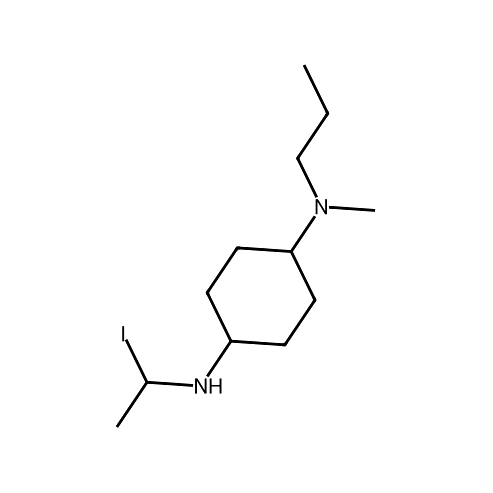 CCCN(C)C1CCC(NC(C)I)CC1